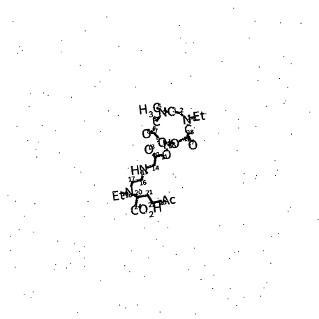 CCN1CCN(C)CC(=O)ON(OC(=O)CNCCN(CC)C(CCC(C)=O)C(=O)O)OC(=O)C1